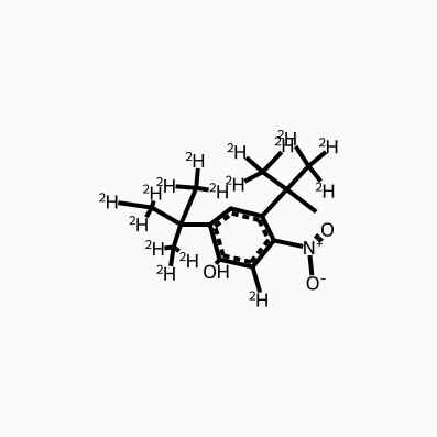 [2H]c1c(O)c(C(C([2H])([2H])[2H])(C([2H])([2H])[2H])C([2H])([2H])[2H])cc(C(C)(C([2H])([2H])[2H])C([2H])([2H])[2H])c1[N+](=O)[O-]